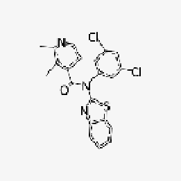 Cc1nccc(C(=O)N(c2cc(Cl)cc(Cl)c2)c2nc3ccccc3s2)c1C